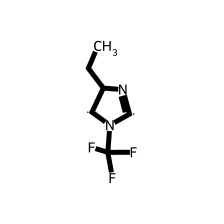 CCC1[CH]N(C(F)(F)F)[C]=N1